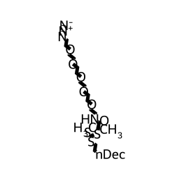 CCCCCCCCCCCCSC(=S)SC(C)(C)C(=O)NCCOCCOCCOCCOCCOCCN=[N+]=[N-]